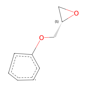 [c]1cccc(OC[C@@H]2CO2)c1